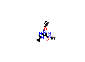 CC(C)NC(=O)c1cn(COCC[Si](C)(C)C)c2ncc(C3CC3)nc12